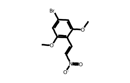 COc1cc(Br)cc(OC)c1C=C[N+](=O)[O-]